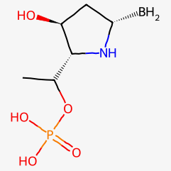 B[C@H]1C[C@H](O)[C@@H](C(C)OP(=O)(O)O)N1